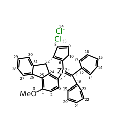 COc1cc[c]([Zr+2]([C]2=CC=CC2)=[C](c2ccccc2)c2ccccc2)c2c1-c1ccccc1C2.[Cl-].[Cl-]